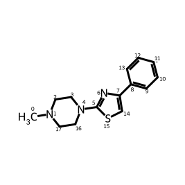 CN1CCN(c2nc(-c3cc[c]cc3)cs2)CC1